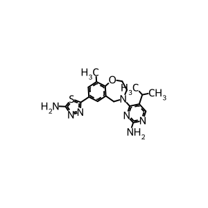 Cc1cc(-c2nnc(N)s2)cc2c1OCCN(c1nc(N)ncc1C(C)C)C2